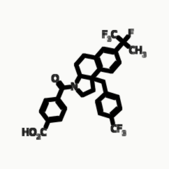 CC(F)(c1ccc2c(c1)CCC1N(C(=O)c3ccc(C(=O)O)cc3)CCC21Cc1ccc(C(F)(F)F)cc1)C(F)(F)F